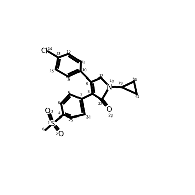 CS(=O)(=O)c1ccc(C2=C(c3ccc(Cl)cc3)CN(C3CC3)C2=O)cc1